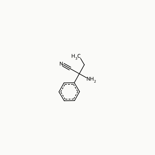 CCC(N)(C#N)c1ccccc1